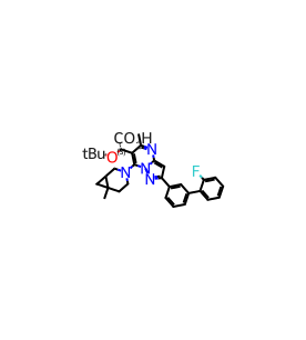 Cc1nc2cc(-c3cccc(-c4ccccc4F)c3)nn2c(N2CCC3(C)CC3C2)c1[C@H](OC(C)(C)C)C(=O)O